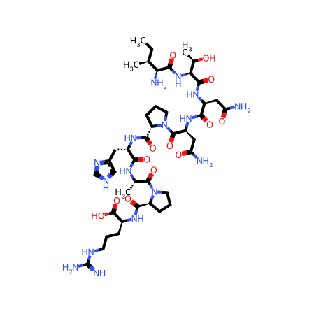 CC[C@H](C)[C@H](N)C(=O)N[C@H](C(=O)N[C@@H](CC(N)=O)C(=O)N[C@@H](CC(N)=O)C(=O)N1CCC[C@H]1C(=O)N[C@@H](Cc1c[nH]cn1)C(=O)N[C@@H](C)C(=O)N1CCC[C@H]1C(=O)N[C@@H](CCCNC(=N)N)C(=O)O)[C@@H](C)O